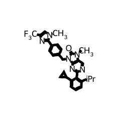 CC(C)c1cccc(C2CC2)c1-c1ncc2c(n1)n(Cc1ccc(-c3nc(C(F)(F)F)cn3C)cc1)c(=O)n2C